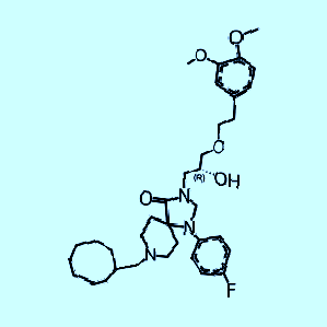 COc1ccc(CCOC[C@H](O)CN2CN(c3ccc(F)cc3)C3(CCN(CC4CCCCCCC4)CC3)C2=O)cc1OC